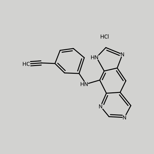 C#Cc1cccc(Nc2c3ncncc3cc3nc[nH]c23)c1.Cl